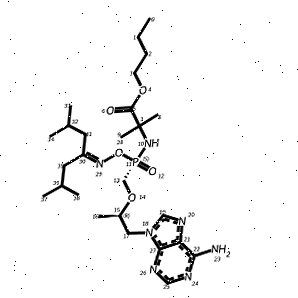 CCCCOC(=O)C(C)(C)N[P@](=O)(CO[C@H](C)Cn1cnc2c(N)ncnc21)ON=C(CC(C)C)CC(C)C